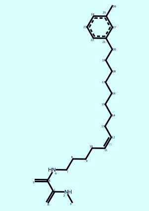 C=C(NC)C(=C)NCCCC/C=C\CCCCCCCCc1cccc(C)c1